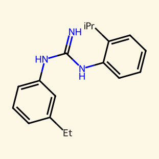 CCc1cccc(NC(=N)Nc2ccccc2C(C)C)c1